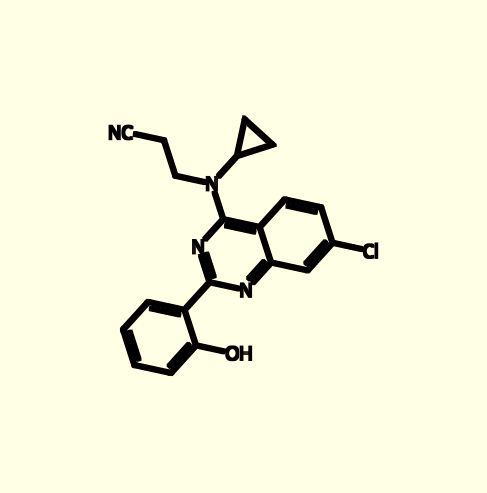 N#CCCN(c1nc(-c2ccccc2O)nc2cc(Cl)ccc12)C1CC1